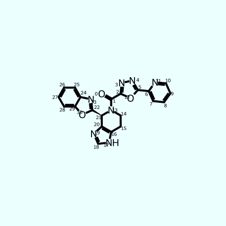 O=C(c1nnc(-c2ccccn2)o1)N1CCc2[nH]cnc2[C@H]1c1nc2ccccc2o1